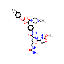 CC(C)[C@H](NC(=O)OC(C)(C)C)C(=O)N[C@@H](CCCNC(N)=O)C(=O)Nc1ccc(C(OC(=O)Oc2ccc([N+](=O)[O-])cc2)C(=O)N2CCN(C)CC2)cc1